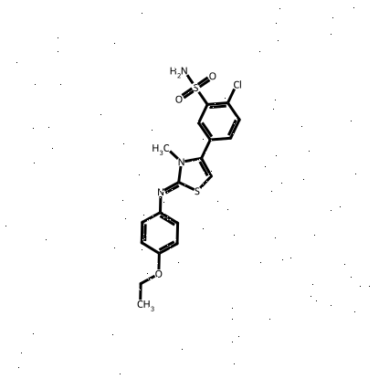 CCOc1ccc(/N=c2\scc(-c3ccc(Cl)c(S(N)(=O)=O)c3)n2C)cc1